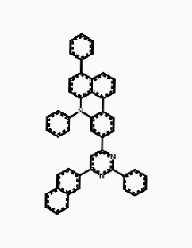 c1ccc(-c2nc(-c3ccc4c(c3)N(c3ccccc3)c3ccc(-c5ccccc5)c5cccc-4c35)cc(-c3ccc4ccccc4c3)n2)cc1